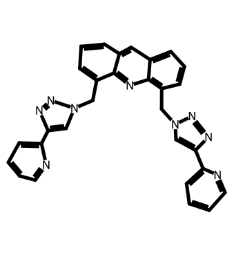 c1ccc(-c2cn(Cc3cccc4cc5cccc(Cn6cc(-c7ccccn7)nn6)c5nc34)nn2)nc1